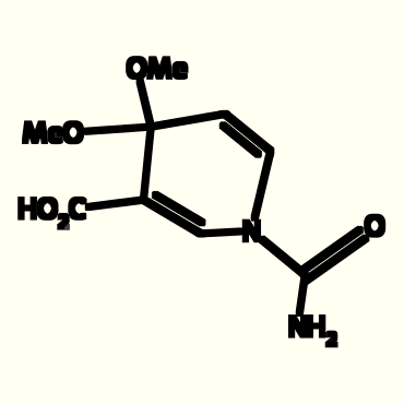 COC1(OC)C=CN(C(N)=O)C=C1C(=O)O